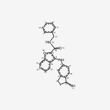 N=C1CCc2cc(Nc3c(C(=O)NCc4cccnc4)oc4cnccc34)ccc21